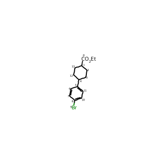 CCOC(=O)C1CCC(c2ccc(Br)cc2)CC1